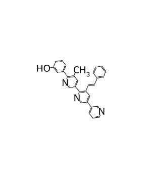 Cc1cc(-c2ncc(-c3cccnc3)cc2/C=C/c2ccccc2)cnc1-c1cccc(O)c1